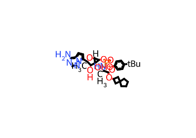 C[C@H](NP(=O)(Oc1ccc(C(C)(C)C)cc1)OC1[C@H]2O[C@@](C)(c3ccc4c(N)ncnn34)[C@H](O)[C@@]12O)C(=O)OC1CC2(CCCC2)C1